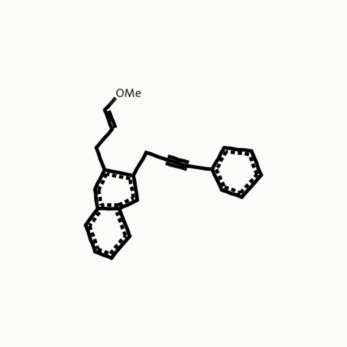 CO/C=C/Cc1cc2ccccc2cc1CC#Cc1ccccc1